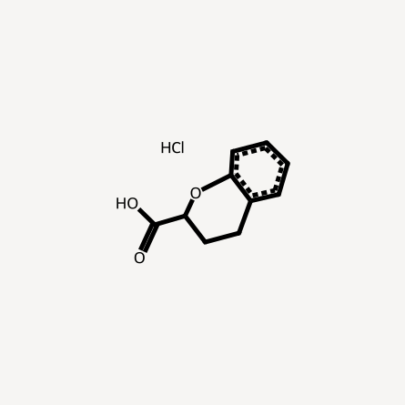 Cl.O=C(O)C1CCc2ccccc2O1